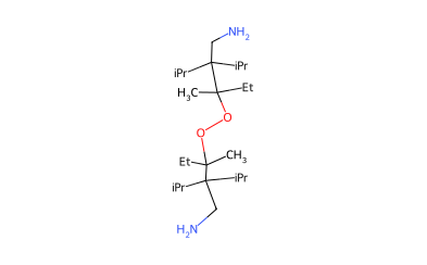 CCC(C)(OOC(C)(CC)C(CN)(C(C)C)C(C)C)C(CN)(C(C)C)C(C)C